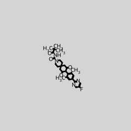 Cc1cc(-c2ncc(F)cn2)cc(C)c1C1C(=O)CC2(CCN(C(=O)NC(=O)C(C)(C)C)CC2)CC1=O